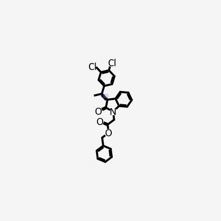 C/C(=C1\C(=O)N(CC(=O)OCc2ccccc2)c2ccccc21)c1ccc(Cl)c(Cl)c1